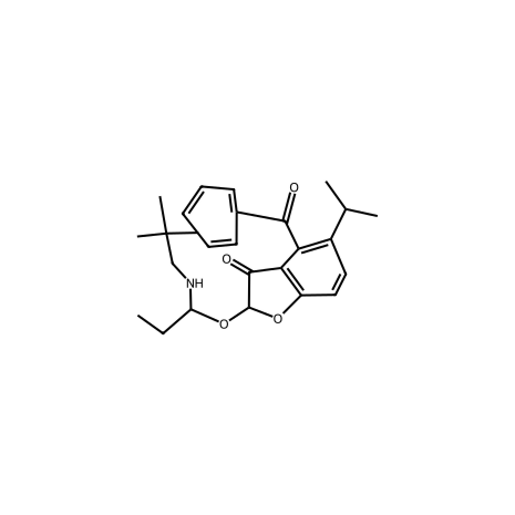 CCC(NCC(C)(C)C)OC1Oc2ccc(C(C)C)c(C(=O)c3ccccc3)c2C1=O